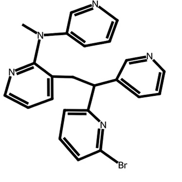 CN(c1cccnc1)c1ncccc1CC(c1cccnc1)c1cccc(Br)n1